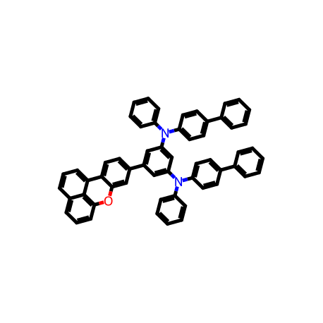 c1ccc(-c2ccc(N(c3ccccc3)c3cc(-c4ccc5c(c4)Oc4cccc6cccc-5c46)cc(N(c4ccccc4)c4ccc(-c5ccccc5)cc4)c3)cc2)cc1